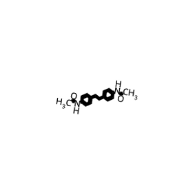 CC(=O)Nc1ccc(CCc2ccc(NC(C)=O)cc2)cc1